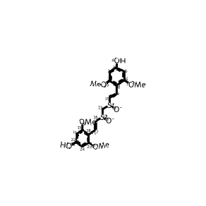 COc1cc(O)cc(OC)c1C=C[S+]([O-])C[S+]([O-])C=Cc1c(OC)cc(O)cc1OC